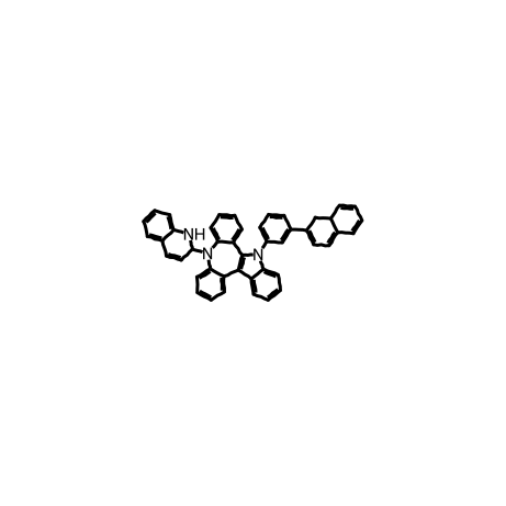 C1=CC2=CC=C(c3cccc(-n4c5c(c6ccccc64)-c4ccccc4N(C4C=Cc6ccccc6N4)c4ccccc4-5)c3)CC2C=C1